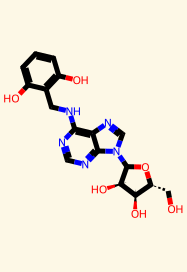 OC[C@H]1OC(n2cnc3c(NCc4c(O)cccc4O)ncnc32)[C@H](O)[C@@H]1O